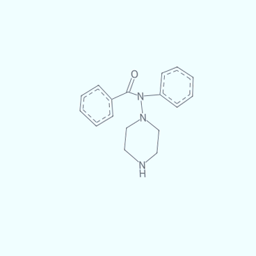 O=C(c1ccccc1)N(c1ccccc1)N1CCNCC1